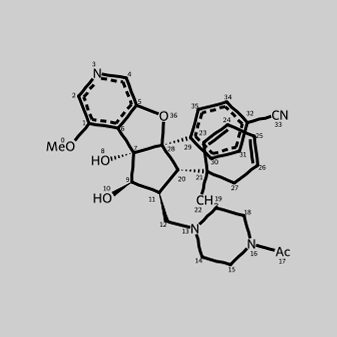 COc1cncc2c1[C@]1(O)[C@H](O)[C@H](CN3CCN(C(C)=O)CC3)[C@@H](C3(C)C=CC=CC3)[C@]1(c1ccc(C#N)cc1)O2